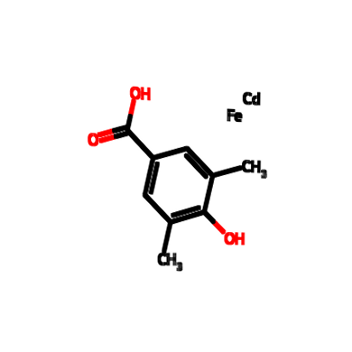 Cc1cc(C(=O)O)cc(C)c1O.[Cd].[Fe]